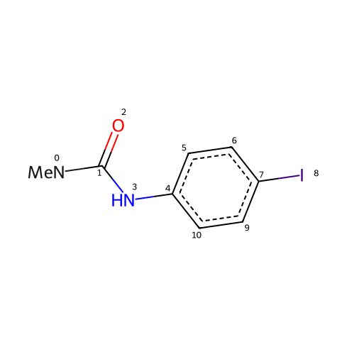 CNC(=O)Nc1ccc(I)cc1